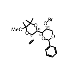 C=C[C@@H]1OC(C)(OC)C(C)(C)O[C@H]1[C@@H]1OC(c2ccccc2)OC[C@H]1OBr